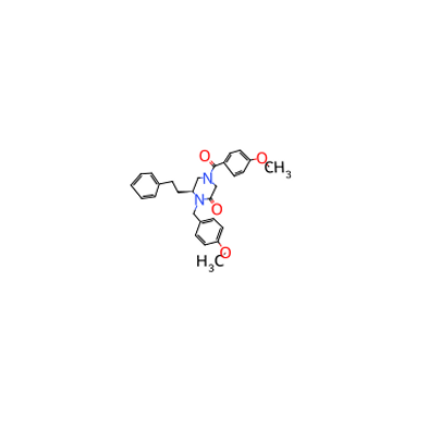 COc1ccc(CN2C(=O)CN(C(=O)c3ccc(OC)cc3)C[C@@H]2CCc2ccccc2)cc1